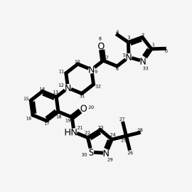 Cc1cc(C)n(CC(=O)N2CCN(c3ccccc3C(=O)Nc3cc(C(C)(C)C)ns3)CC2)n1